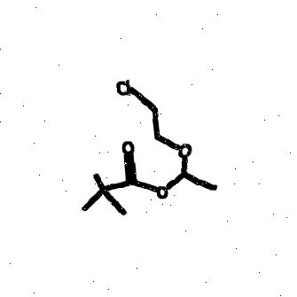 CC(OCCCl)OC(=O)C(C)(C)C